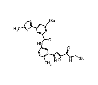 Cc1nc(-c2cc(C(=O)Nc3ccc(C)c(-c4cc(C(=O)NCC(C)(C)C)on4)c3)cc(C(C)(C)C)c2)cs1